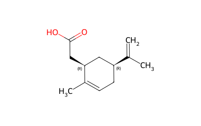 C=C(C)[C@H]1CC=C(C)[C@@H](CC(=O)O)C1